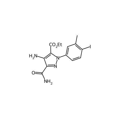 CCOC(=O)c1c(N)c(C(N)=O)nn1-c1ccc(I)c(C)c1